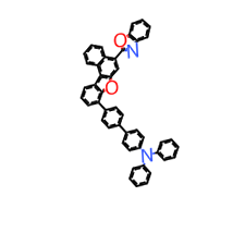 c1ccc(N(c2ccccc2)c2ccc(-c3ccc(-c4cccc5c4oc4cc(-c6nc7ccccc7o6)c6ccccc6c45)cc3)cc2)cc1